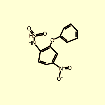 O=[N+]([O-])c1ccc(N[SH](=O)=O)c(Oc2ccccc2)c1